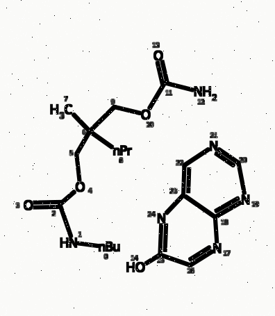 CCCCNC(=O)OCC(C)(CCC)COC(N)=O.Oc1cnc2ncncc2n1